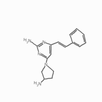 Nc1nc(C=Cc2ccccc2)cc(N2CCC(N)C2)n1